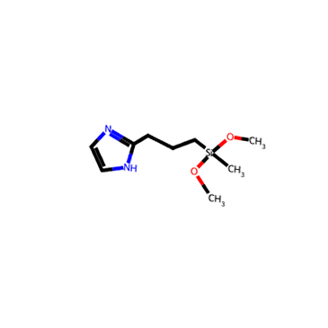 CO[Si](C)(CCCc1ncc[nH]1)OC